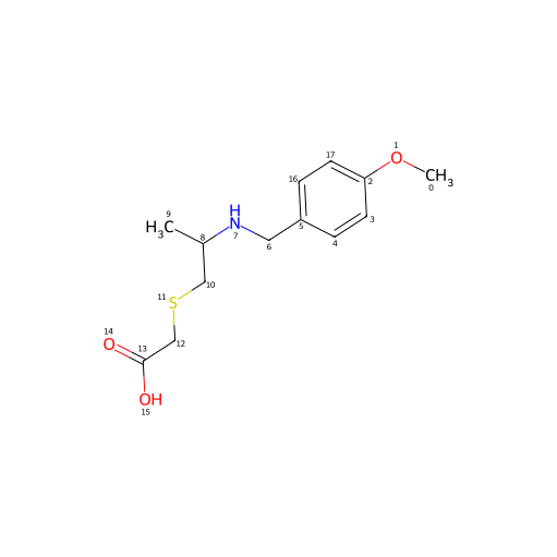 COc1ccc(CNC(C)CSCC(=O)O)cc1